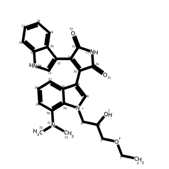 CCOCC(O)Cn1cc(C2=C(c3c[nH]c4ccccc34)C(=O)NC2=O)c2cccc(N(C)C)c21